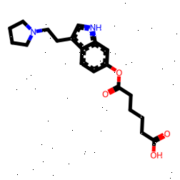 O=C(O)CCCCC(=O)Oc1ccc2c(CCN3CCCC3)c[nH]c2c1